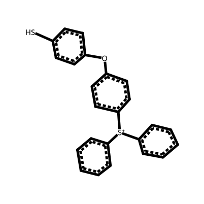 Sc1ccc(Oc2ccc([S+](c3ccccc3)c3ccccc3)cc2)cc1